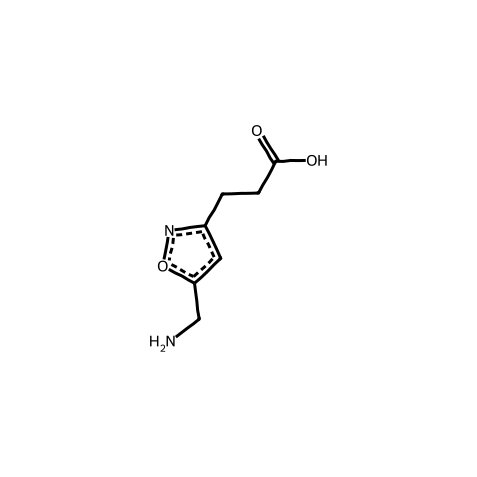 NCc1cc(CCC(=O)O)no1